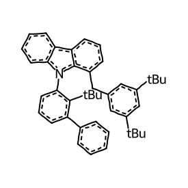 CC(C)(C)c1cc(Cc2cccc3c4ccccc4n(-c4cccc(-c5ccccc5)c4C(C)(C)C)c23)cc(C(C)(C)C)c1